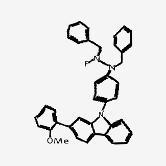 COc1ccccc1-c1ccc2c3ccccc3n(-c3ccc(N(Cc4ccccc4)N(F)Cc4ccccc4)cc3)c2c1